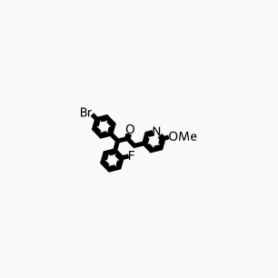 COc1ccc(CC(=O)C(c2ccc(Br)cc2)c2ccccc2F)cn1